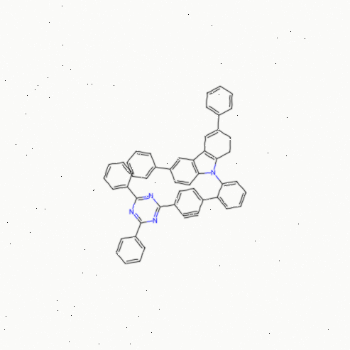 c1c(-c2nc(-c3ccccc3)nc(-c3ccccc3)n2)ccc(-c2ccccc2-n2c3c(c4cc(-c5ccccc5)ccc42)C=C(c2ccccc2)CC3)c#1